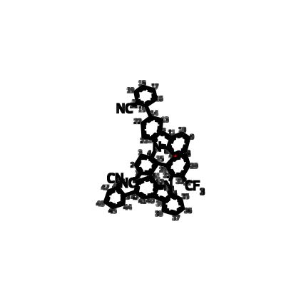 N#Cc1ccc(-n2c3ccccc3c3cc(-c4ccccc4C#N)ccc32)c(-c2cccc(C(F)(F)F)c2-n2c3ccccc3c3cc(-c4ccccc4C#N)ccc32)c1